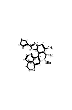 CC(=O)[C@@H](OC(C)(C)C)c1c(C)cc2nc(C3=CCCC3)sc2c1-c1ccc2c3c(ccnc13)CCO2